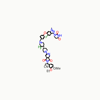 CCOc1cc([C@@H](CC#N)N2C(=O)c3cnc(N4CCC([C@H]5CCN(Cc6ccc(Oc7cc8c(cc7F)c(N7CCC(=O)NC7=O)nn8C)cc6)CC5(F)F)CC4)cc3C2=O)ccc1OC